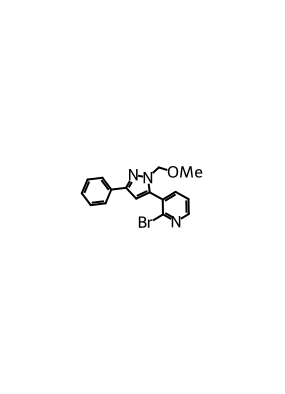 COCn1nc(-c2ccccc2)cc1-c1cccnc1Br